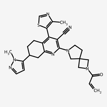 C=CC(=O)N1CC2(CCN(c3nc4c(c(-c5scnc5C)c3C#N)CCC(c3ccnn3C)C4)C2)C1